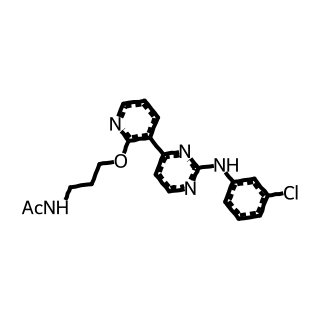 CC(=O)NCCCOc1ncccc1-c1ccnc(Nc2cccc(Cl)c2)n1